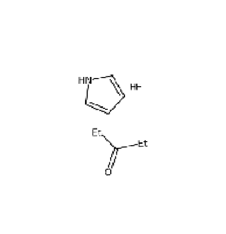 CCC(=O)CC.F.c1cc[nH]c1